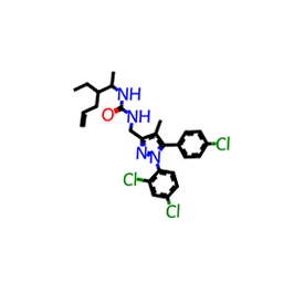 C=CCC(CC)C(C)NC(=O)NCc1nn(-c2ccc(Cl)cc2Cl)c(-c2ccc(Cl)cc2)c1C